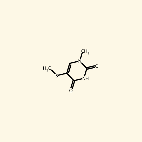 CSc1cn(C)c(=O)[nH]c1=O